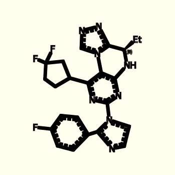 CC[C@H]1Nc2nc(-n3ccnc3-c3ccc(F)cc3)nc(C3CCC(F)(F)C3)c2-n2cnnc21